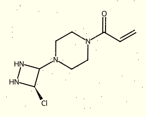 C=CC(=O)N1CCN(C2NN[C@@H]2Cl)CC1